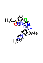 C=CCP(C)(=O)c1ccccc1Nc1nc(Nc2ccc(N3CCN(C)CC3)cc2OC)ncc1Cl